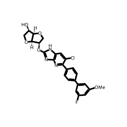 COc1cc(F)cc(-c2ccc(-c3nc4nc(O[C@@H]5CO[C@H]6[C@@H]5OC[C@H]6O)[nH]c4cc3Cl)cc2)c1